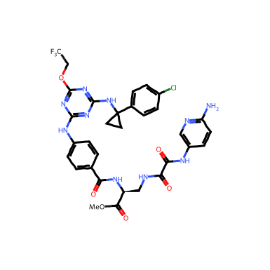 COC(=O)[C@H](CNC(=O)C(=O)Nc1ccc(N)nc1)NC(=O)c1ccc(Nc2nc(NC3(c4ccc(Cl)cc4)CC3)nc(OCC(F)(F)F)n2)cc1